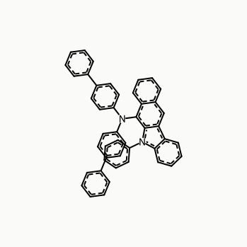 c1ccc(-c2ccc(N(c3ccc(-c4ccccc4)cc3)c3c4ccccc4cc4c5ccccc5n(-c5ccccc5)c34)cc2)cc1